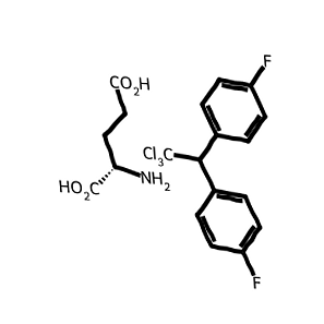 Fc1ccc(C(c2ccc(F)cc2)C(Cl)(Cl)Cl)cc1.N[C@@H](CCC(=O)O)C(=O)O